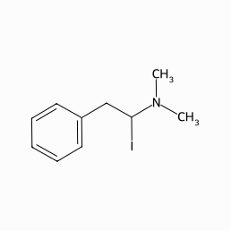 CN(C)C(I)Cc1ccccc1